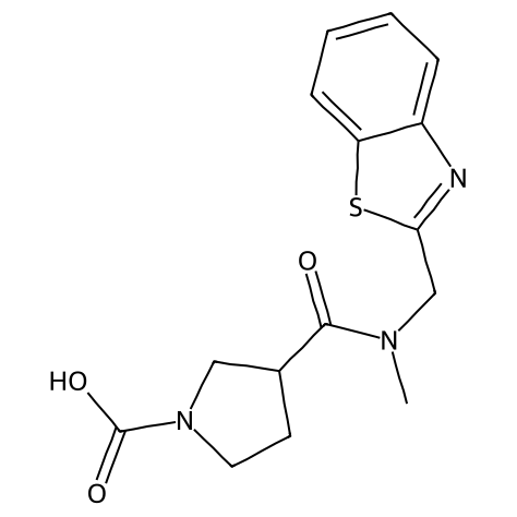 CN(Cc1nc2ccccc2s1)C(=O)C1CCN(C(=O)O)C1